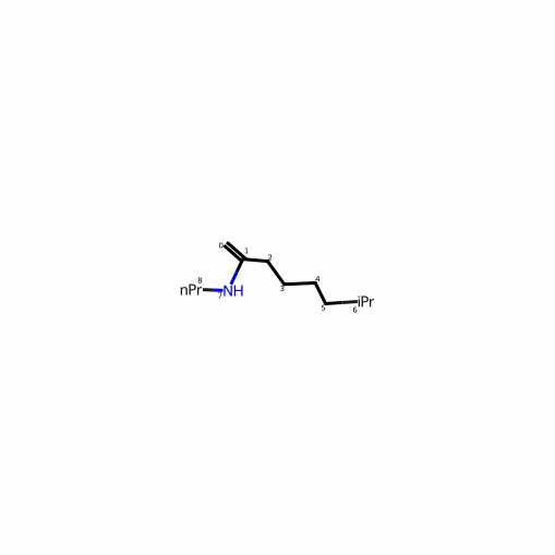 C=C(CCCCC(C)C)NCCC